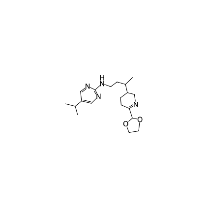 CC(C)c1cnc(NCCC(C)C2CCC(C3OCCO3)=NC2)nc1